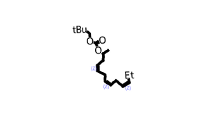 CC/C=C\C/C=C\C/C=C\CC(C)OC(=O)OCC(C)(C)C